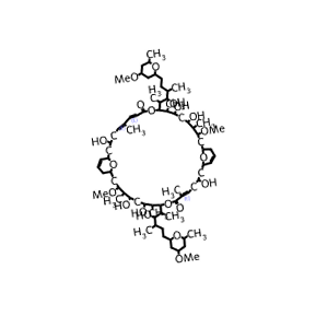 COC1CC(C)OC(CCC(C)C(O)C(C)C2OC(=O)/C=C/C(C)=C/CC(O)CC3C=CCC(CC(OC)C(C)C(O)CC(O)C(C)C(C(C)C(O)C(C)CCC4CC(OC)CC(C)O4)OC(=O)/C(C)=C/CC(O)CC4C=CCC(CC(OC)C(C)C(O)CC(O)C2C)O4)O3)C1